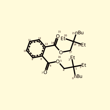 CCCCC(CC)(CC)COC(=O)c1ccccc1C(=O)OCC(CC)(CC)CCCC